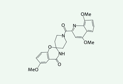 COc1ccc2c(c1)C(=O)NC1(CCN(C(=O)c3cc(OC)c4cccc(OC)c4n3)CC1)O2